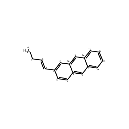 CCC=Cc1ccc2cc3ccccc3cc2c1